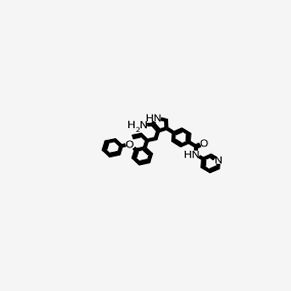 C=CC(CC1=C(N)NCC1c1ccc(C(=O)Nc2cccnc2)cc1)c1ccccc1OC1C=CC=CC1